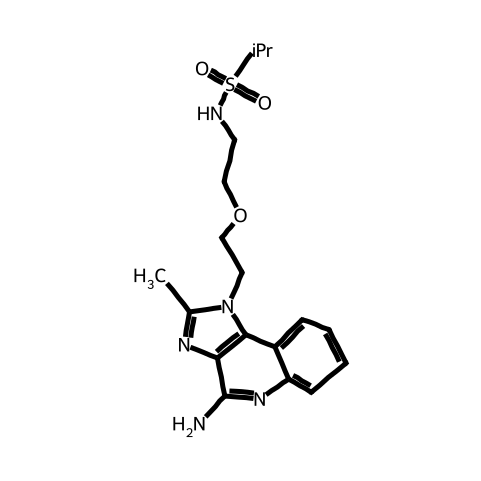 Cc1nc2c(N)nc3ccccc3c2n1CCOCCNS(=O)(=O)C(C)C